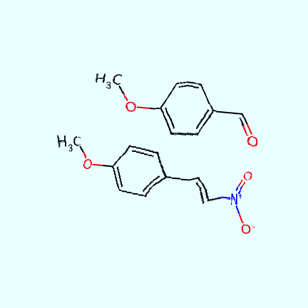 COc1ccc(/C=C/[N+](=O)[O-])cc1.COc1ccc(C=O)cc1